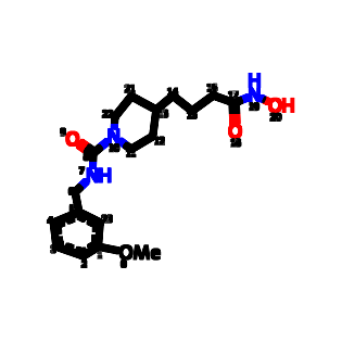 COc1cccc(CNC(=O)N2CCC(CCCC(=O)NO)CC2)c1